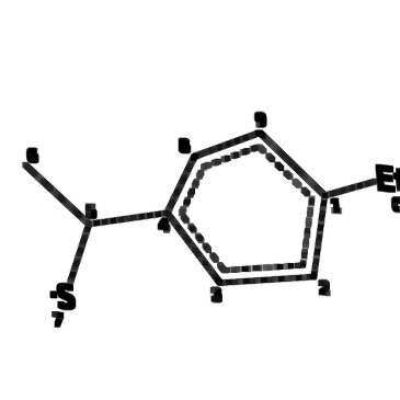 CCc1ccc(C(C)[S])cc1